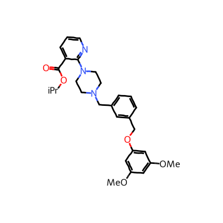 COc1cc(OC)cc(OCc2cccc(CN3CCN(c4ncccc4C(=O)OC(C)C)CC3)c2)c1